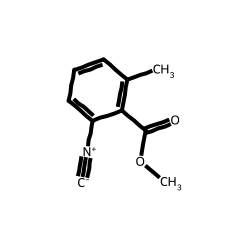 [C-]#[N+]c1cccc(C)c1C(=O)OC